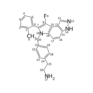 Cc1ccccc1-c1c(F)c2c3cn[nH]c3ccc2n1Cc1ccc(CCN)cc1